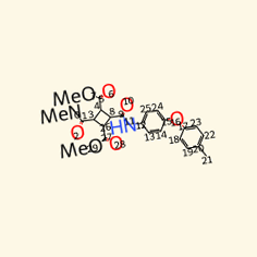 CNC(=O)C1C(C(=O)OC)C(C(=O)Nc2ccc(Oc3ccc(C)cc3)cc2)C1C(=O)OC